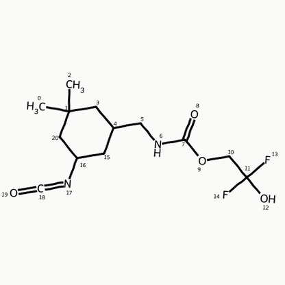 CC1(C)CC(CNC(=O)OCC(O)(F)F)CC(N=C=O)C1